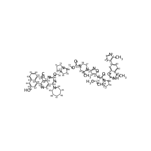 Cc1ncsc1-c1ccc([C@H](C)NC(=O)[C@@H]2CCCN2C(=O)[C@@H](c2cc(N3CCN(C(=O)OC[C@@H]4CC[C@@]5(COc6nc(N7CCCCCC7)c7cnc8c(c7n6)C(C)c6cccc7cc(O)cc-8c67)CCCN45)C[C@H]3C)no2)C(C)C)cc1